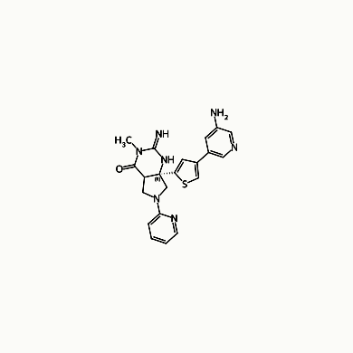 CN1C(=N)N[C@@]2(c3cc(-c4cncc(N)c4)cs3)CN(c3ccccn3)CC2C1=O